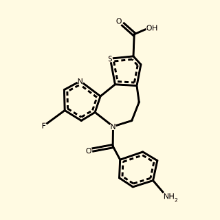 Nc1ccc(C(=O)N2CCc3cc(C(=O)O)sc3-c3ncc(F)cc32)cc1